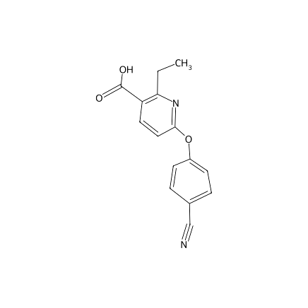 CCc1nc(Oc2ccc(C#N)cc2)ccc1C(=O)O